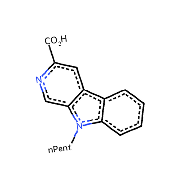 CCCCCn1c2ccccc2c2cc(C(=O)O)ncc21